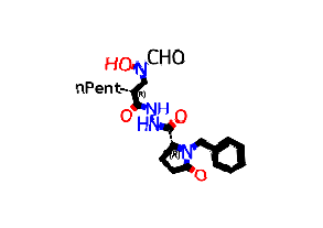 CCCCC[C@H](CN(O)C=O)C(=O)NNC(=O)[C@H]1CCC(=O)N1Cc1ccccc1